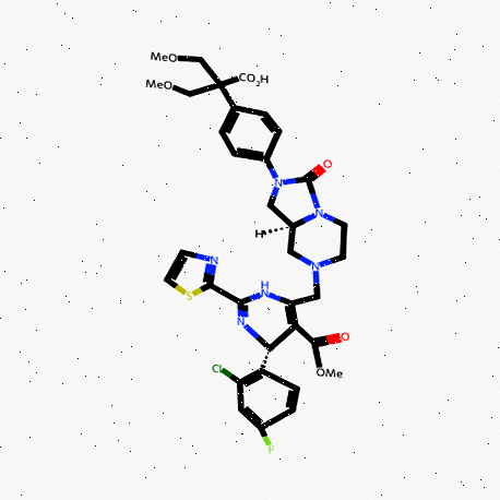 COCC(COC)(C(=O)O)c1ccc(N2C[C@@H]3CN(CC4=C(C(=O)OC)[C@H](c5ccc(F)cc5Cl)N=C(c5nccs5)N4)CCN3C2=O)cc1